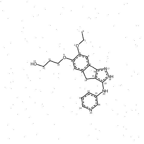 CCOc1cc2c(cc1OCCCO)Cc1c-2n[nH]c1Nc1cccnc1